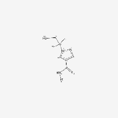 CCNC(=O)c1ccn(C(C)(C)CO)c1